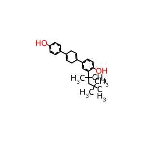 CC(C)(C)CC(C)(C)c1cc(C2=CCC(c3ccc(O)cc3)=CC2)ccc1O